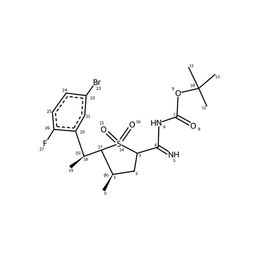 C[C@@H]1CC(C(=N)NC(=O)OC(C)(C)C)S(=O)(=O)C1[C@@H](C)c1cc(Br)ccc1F